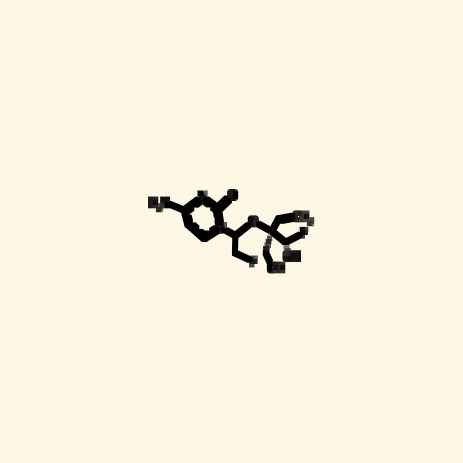 C=C[C@](CO)(OC(CF)n1ccc(N)nc1=O)[C@@H](O)F